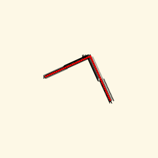 Cl.Cl.Cl.[Cl-].[Cl-].[Cl-].[Cl-].[Cl-].[Cl-].[Cl-].[Cl-].[Cl-].[Cl-].[Cl-].[Cl-].[Cl-].[Cl-].[Cl-].[Cl-].[Cl-].[Cl-].[Cl-].[Cl-].[Cl-].[Cl-].[Cl-].[Cl-].[Cl-].[Cl-].[Cl-].[Cl-].[Cl-].[Cl-].[Cl-].[Cl-].[Cl-].[Cl-].[Cl-].[Cl-].[Cl-].[Cl-].[Cl-].[Cl-].[Cl-].[Cl-].[Cl-].[Cl-].[Cl-].[Cl-].[Cl-].[Cl-].[Cl-].[Cl-].[K+].[K+].[K+].[K+].[K+].[K+].[K+].[K+].[K+].[K+].[K+].[K+].[K+].[K+].[K+].[K+].[K+].[K+].[K+].[K+].[K+].[K+].[K+].[K+].[K+].[K+].[K+].[K+].[K+].[K+].[K+].[K+].[K+].[K+].[K+].[K+].[K+].[K+].[K+].[K+].[K+].[K+].[K+].[K+].[K+].[K+].[K+].[K+].[K+].[K+]